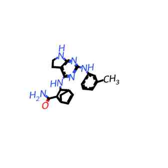 Cc1cccc(Nc2nc3c(c(NC4C5C=CC(C5)C4C(N)=O)n2)CCN3)c1